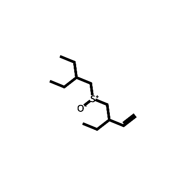 C=CC(CC)C[S+]([O-])CC(CC)CC